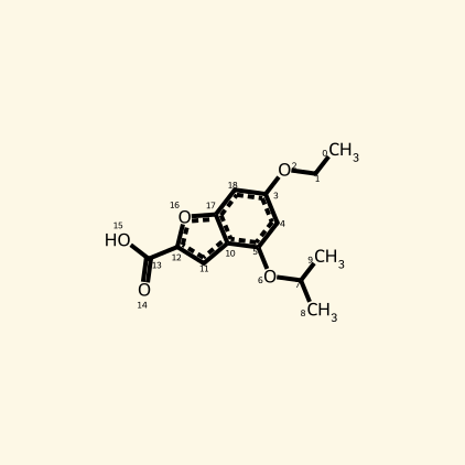 CCOc1cc(OC(C)C)c2cc(C(=O)O)oc2c1